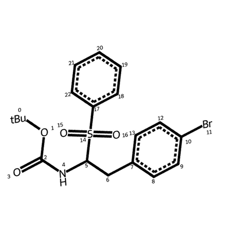 CC(C)(C)OC(=O)NC(Cc1ccc(Br)cc1)S(=O)(=O)c1ccccc1